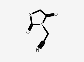 N#CCN1C(=O)CSC1=O